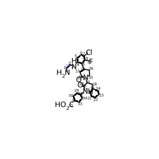 N/C=C\Nc1ccc(Cl)c(F)c1C1=CC(=O)N(C(Cc2ccccc2)C(=O)Nc2ccc(C(=O)O)cc2)CC1